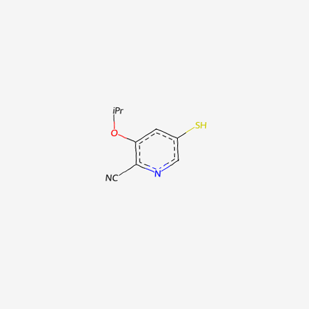 CC(C)Oc1cc(S)cnc1C#N